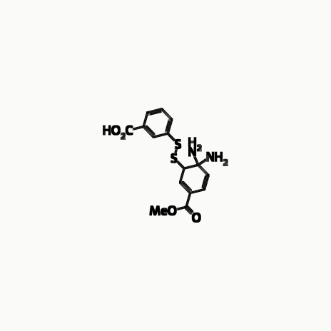 COC(=O)C1=CC(SSc2cccc(C(=O)O)c2)C(N)(N)C=C1